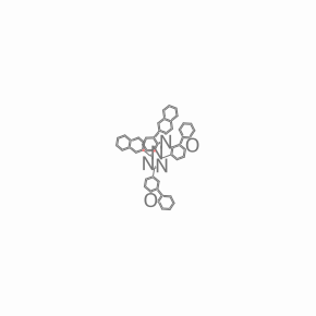 c1ccc2cc(-c3nc(-c4ccc5oc6ccccc6c5c4)nc(-c4ccc5oc6ccccc6c5c4-n4c5ccccc5c5cc6ccccc6cc54)n3)ccc2c1